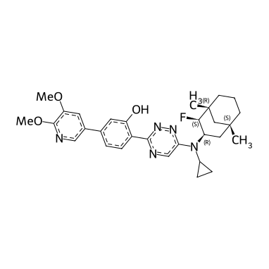 COc1cc(-c2ccc(-c3ncc(N(C4CC4)[C@@H]4C[C@@]5(C)CCC[C@](C)(C5)[C@@H]4F)nn3)c(O)c2)cnc1OC